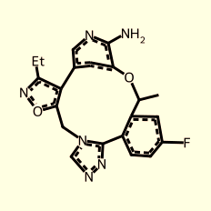 CCc1noc2c1-c1cnc(N)c(c1)OC(C)c1cc(F)ccc1-c1nncn1C2